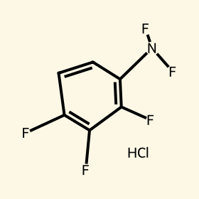 Cl.Fc1ccc(N(F)F)c(F)c1F